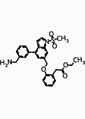 CCOC(=O)Cc1ccccc1OCc1cc(-c2cccc(CN)c2)c2ccn(S(C)(=O)=O)c2c1